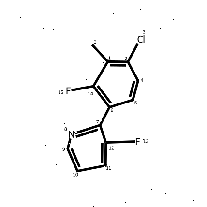 Cc1c(Cl)ccc(-c2ncccc2F)c1F